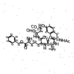 CC(=O)N[C@@H](Cc1ccc(O)cc1)C(=O)N[C@H](C(=O)N[C@@H](CCCC(N)C(=O)OCc1ccccc1)C(=O)NC(C=O)CC(=O)O)C(C)C